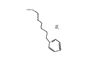 Br.CCCCCCCCCCCCCC[n+]1ccccc1.N